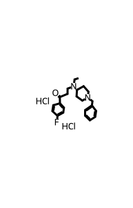 CCN(CCC(=O)c1ccc(F)cc1)C1CCN(Cc2ccccc2)CC1.Cl.Cl